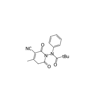 CC1=C(C#N)C(=O)N(N(C(=O)C(C)(C)C)c2ccccc2)C(=O)C1